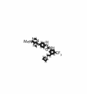 CNc1ncnc2c1ncn2-c1ccc(NC(=O)Nc2cc(CCN3CCCC3)cc(C(F)(F)F)c2)cc1